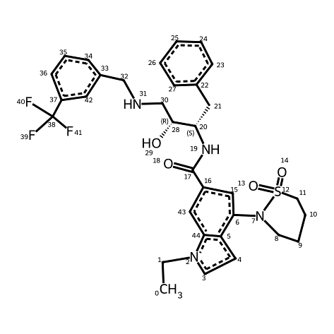 CCn1ccc2c(N3CCCCS3(=O)=O)cc(C(=O)N[C@@H](Cc3ccccc3)[C@H](O)CNCc3cccc(C(F)(F)F)c3)cc21